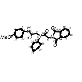 COc1ccc(NC(=O)CN(C(=O)CN2C(=O)c3ccccc3C2=O)c2ccccc2)cc1